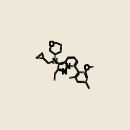 CCc1nn2c(-c3c(C)cc(C)cc3OC)cccc2c1N(CC1CC1)C1CCCOC1